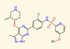 Cc1n[nH]c2nc(-c3ccc(NS(=O)(=O)c4cc(OC(C)C)ccn4)c(Cl)c3)nc(O[C@@H]3CCNC[C@@H]3F)c12